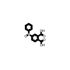 O=C(O)c1ccc([P](=O)c2ccccc2)cc1C(=O)O